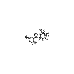 CN1C(C)(C)CC(OC(=O)c2cc(I)ccc2F)CC1(C)C